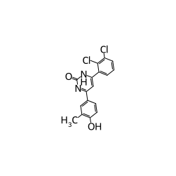 Cc1cc(-c2cc(-c3cccc(Cl)c3Cl)[nH]c(=O)n2)ccc1O